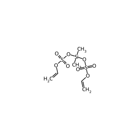 C=COS(=O)(=O)O[Si](C)(C)OS(=O)(=O)OC=C